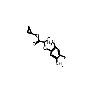 CC(Oc1cc(N)c(F)cc1Cl)C(=O)OC1CC1